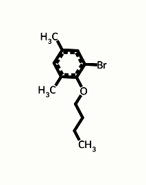 CCCCOc1c(C)cc(C)cc1Br